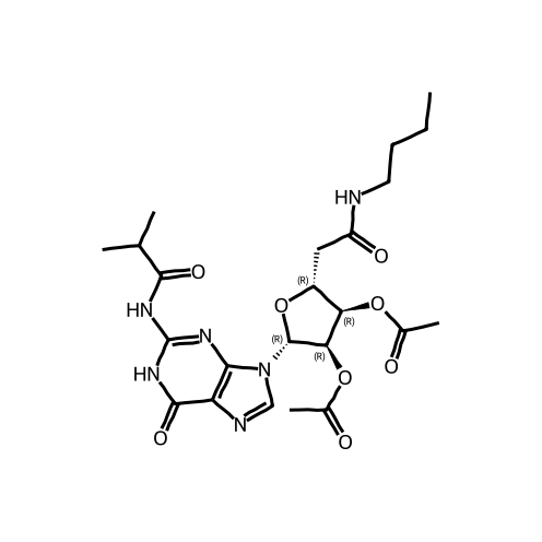 CCCCNC(=O)C[C@H]1O[C@@H](n2cnc3c(=O)[nH]c(NC(=O)C(C)C)nc32)[C@H](OC(C)=O)[C@@H]1OC(C)=O